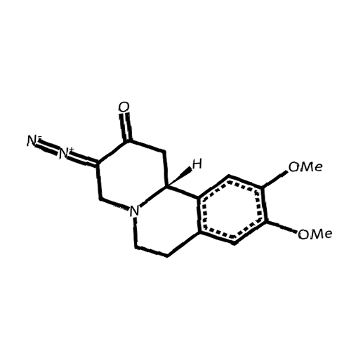 COc1cc2c(cc1OC)[C@H]1CC(=O)C(=[N+]=[N-])CN1CC2